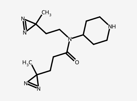 CC1(CCC(=O)N(CCC2(C)N=N2)C2CCNCC2)N=N1